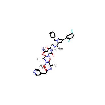 CNC(=O)C(CCN(C(C)=O)C(c1cc(-c2cc(F)ccc2F)cn1Cc1ccccc1)C(C)(C)C)NC(=O)[C@H](CC(N)=O)NC(=O)C(C)N(C)C(=O)C(C)NC(=O)Cc1ccncc1